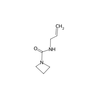 C=CCNC(=O)N1CCC1